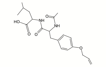 C=CCOc1ccc(CC(NC(C)=O)C(=O)NC(CC(C)C)C(=O)O)cc1